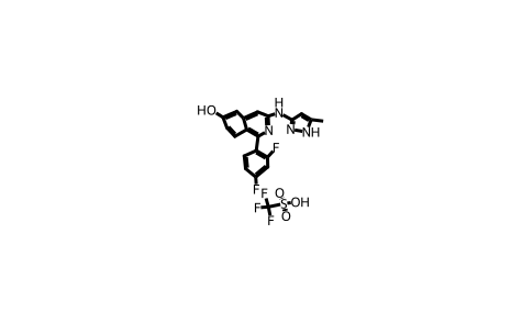 Cc1cc(Nc2cc3cc(O)ccc3c(-c3ccc(F)cc3F)n2)n[nH]1.O=S(=O)(O)C(F)(F)F